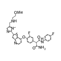 COCCNCc1cnc(-c2cc3nccc(Oc4ccc(C(C(N)=O)C(=O)Nc5ccc(F)cc5)cc4F)c3s2)n1C